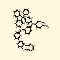 C=C/C=C\C(=C/C)Cc1cccc(N(c2cccc(-c3ccc4oc5ccccc5c4c3)c2)c2ccc3c(c2)C(c2ccccc2)(c2ccccc2)c2ccccc2-3)c1